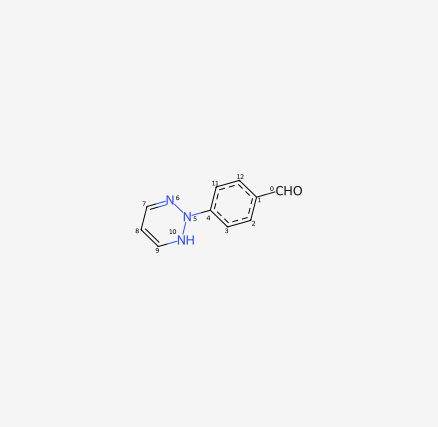 O=Cc1ccc(N2N=CC=CN2)cc1